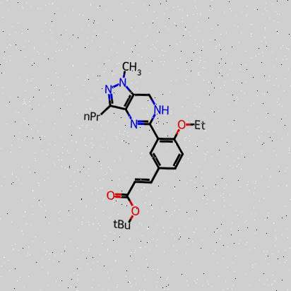 CCCc1nn(C)c2c1N=C(c1cc(C=CC(=O)OC(C)(C)C)ccc1OCC)NC2